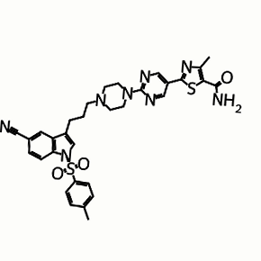 Cc1ccc(S(=O)(=O)n2cc(CCCN3CCN(c4ncc(-c5nc(C)c(C(N)=O)s5)cn4)CC3)c3cc(C#N)ccc32)cc1